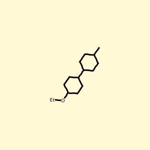 CCOC1CCC(C2CCC(C)CC2)CC1